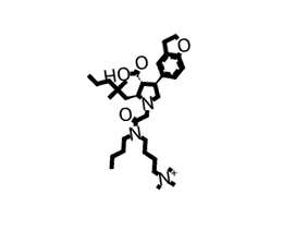 CCCCN(CCCC[N+](C)(C)C)C(=O)CN1C[C@H](c2ccc3c(c2)CCO3)[C@@H](C(=O)O)[C@@H]1CC(C)(C)CCC